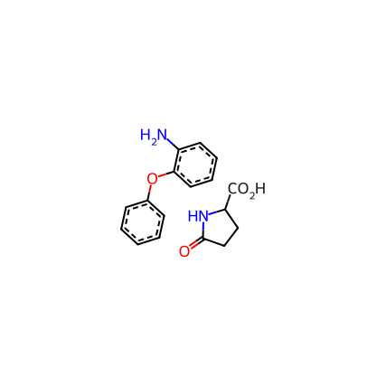 Nc1ccccc1Oc1ccccc1.O=C1CCC(C(=O)O)N1